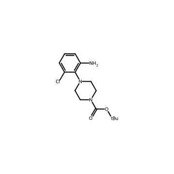 CC(C)(C)OC(=O)N1CCN(c2c(N)cccc2Cl)CC1